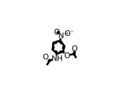 CC(=O)Nc1ccc([N+](=O)[O-])cc1OC(C)=O